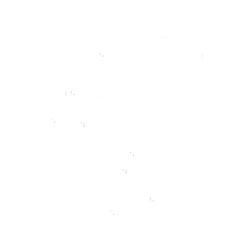 CCCCOC(=O)CCCN(C)/C=C(\CC)Nc1nc(-c2cnn(C3(CC#N)CNC3)c2)c2sccc2n1